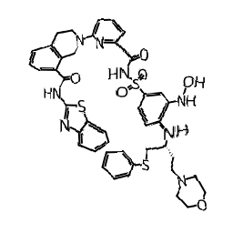 O=C(NS(=O)(=O)c1ccc(N[C@H](CCN2CCOCC2)CSc2ccccc2)c(NO)c1)c1cccc(N2CCc3cccc(C(=O)Nc4nc5ccccc5s4)c3C2)n1